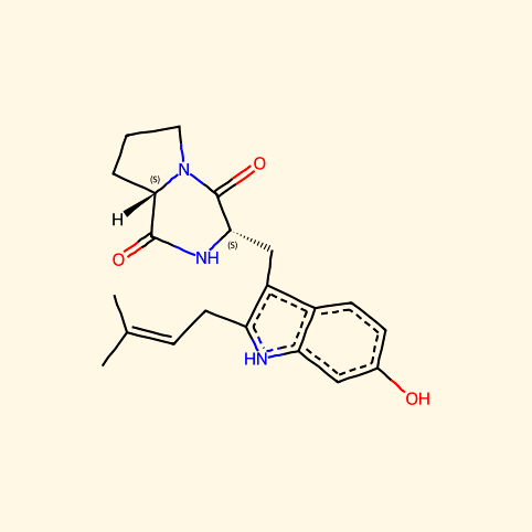 CC(C)=CCc1[nH]c2cc(O)ccc2c1C[C@@H]1NC(=O)[C@@H]2CCCN2C1=O